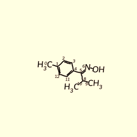 Cc1ccc(C(=NO)C(C)C)cc1